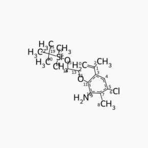 C=C(C)c1cc(Cl)c(C)c(N)c1OCCO[Si](C)(C)C(C)(C)C